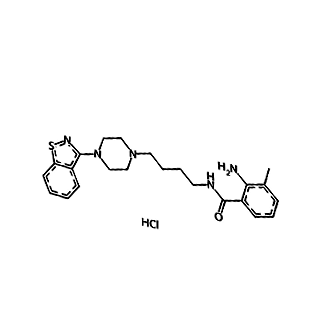 Cc1cccc(C(=O)NCCCCN2CCN(c3nsc4ccccc34)CC2)c1N.Cl